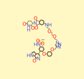 CCS(=O)(=O)Nc1ccc(Oc2cccc(OCc3cn(CCOCCOCCNc4ccc5c(c4)C(=O)N(C4CCC(=O)NC4=O)C5=O)nn3)c2)c(-c2cn(C)c(=O)c3[nH]ccc23)c1